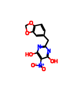 O=[N+]([O-])c1c(O)nc(Cc2ccc3c(c2)OCO3)nc1O